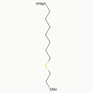 CCCCCCCCCCCCCCSCCSC